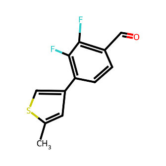 Cc1cc(-c2ccc(C=O)c(F)c2F)cs1